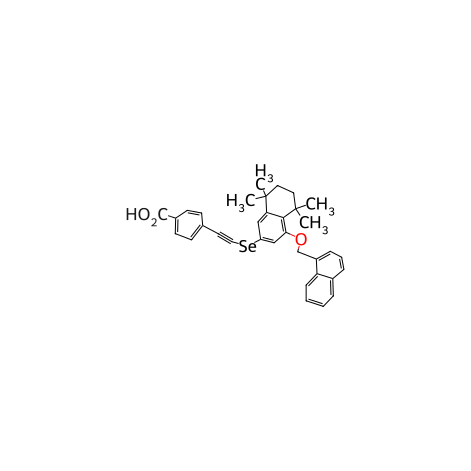 CC1(C)CCC(C)(C)c2c(OCc3cccc4ccccc34)cc([Se]C#Cc3ccc(C(=O)O)cc3)cc21